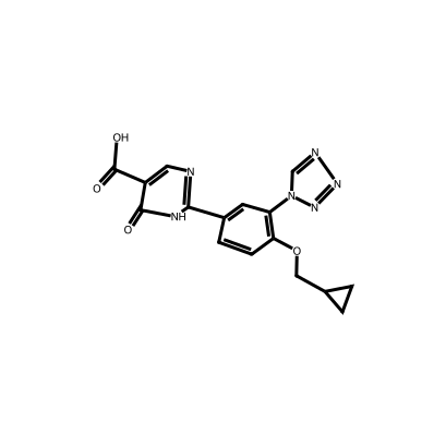 O=C(O)c1cnc(-c2ccc(OCC3CC3)c(-n3cnnn3)c2)[nH]c1=O